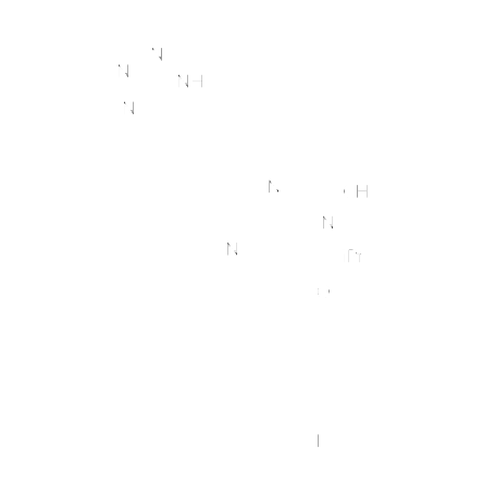 CC(C)N(C)c1nc2cc(-c3nnn[nH]3)ccc2nc1-c1cc2cc(F)ccc2o1